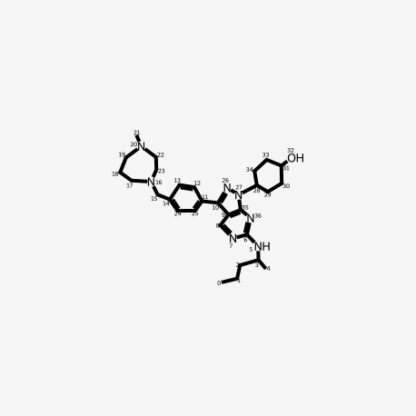 CCCC(C)Nc1ncc2c(-c3ccc(CN4CCCN(C)CC4)cc3)nn(C3CCC(O)CC3)c2n1